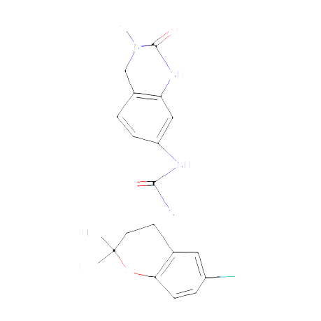 CN1Cc2ccc(NC(=O)N[C@H]3CC(C)(C)Oc4ccc(F)cc43)cc2NC1=O